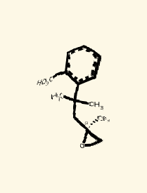 CC(C)(C[C@@]1(C(F)(F)F)CO1)c1ccccc1C(=O)O